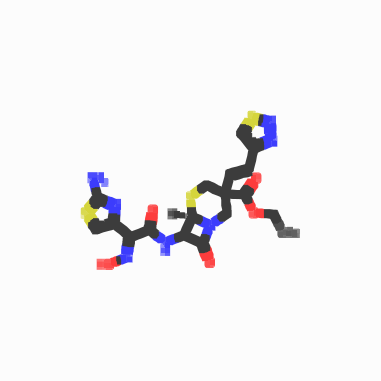 CC(=O)OCOC(=O)C1(C=Cc2csnn2)CS[C@@H]2C(NC(=O)C(=NO)c3csc(N)n3)C(=O)N2C1